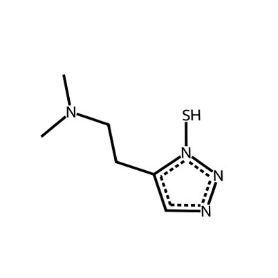 CN(C)CCc1cnnn1S